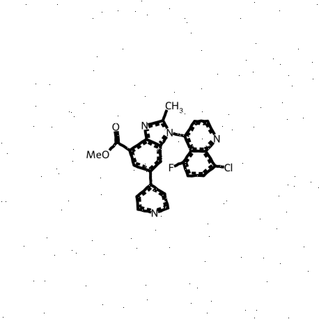 COC(=O)c1cc(-c2ccncc2)cc2c1nc(C)n2-c1ccnc2c(Cl)ccc(F)c12